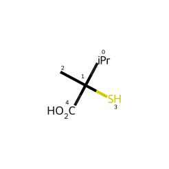 CC(C)C(C)(S)C(=O)O